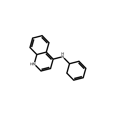 C1=CCC(NC2=C3C=CC=CC3NC=C2)C=C1